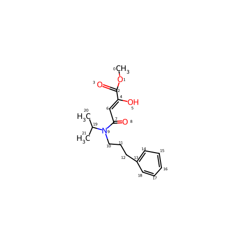 COC(=O)C(O)=CC(=O)N(CCCc1ccccc1)C(C)C